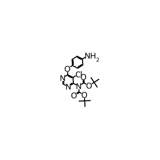 CC(C)(C)OC(=O)N(C(=O)OC(C)(C)C)c1ncnc(Oc2ccc(N)cc2)c1Cl